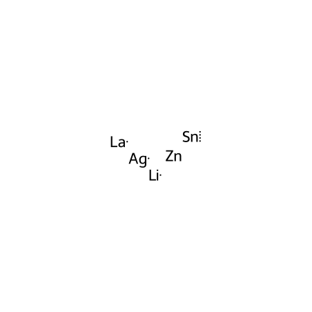 [Ag].[La].[Li].[Sn].[Zn]